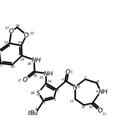 CC(C)(C)c1cc(C(=O)N2CCNC(=O)CC2)c(NC(=O)Nc2cccc3c2OCO3)s1